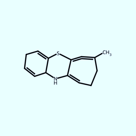 CC1=C=C2SC3=CCC=CC3NC2=CCC1